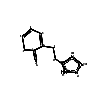 S=C1CC=CC=C1[CH]Cc1nnn[nH]1